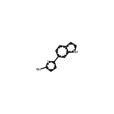 CC(C)(C)c1ccc(-c2ccc3cc[nH]c3c2)s1